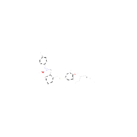 CCOC(=O)CC1CCc2cc(SCc3cccc4c3CN(c3ccc(C)cc3)C4=O)ccc2O1